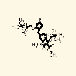 CCOC(=O)c1c(OC(=O)C(C)(C)C)c2ncc(Cc3ccc(F)cc3OCC(=O)OC(C)(C)C)cc2n(C)c1=O